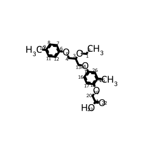 CCOC(COc1ccc(C)cc1)COc1ccc(OCC(=O)O)c(C)c1